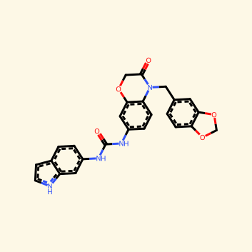 O=C(Nc1ccc2c(c1)OCC(=O)N2Cc1ccc2c(c1)OCO2)Nc1ccc2cc[nH]c2c1